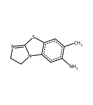 Cc1cc2c(cc1N)N1CCN=C1S2